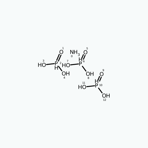 N.O=[PH](O)O.O=[PH](O)O.O=[PH](O)O